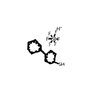 Sc1ccc(-c2ccccc2)cc1.[F][Sb-]([F])([F])([F])([F])[F].[H+]